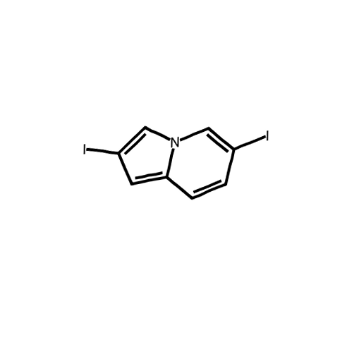 Ic1ccc2cc(I)cn2c1